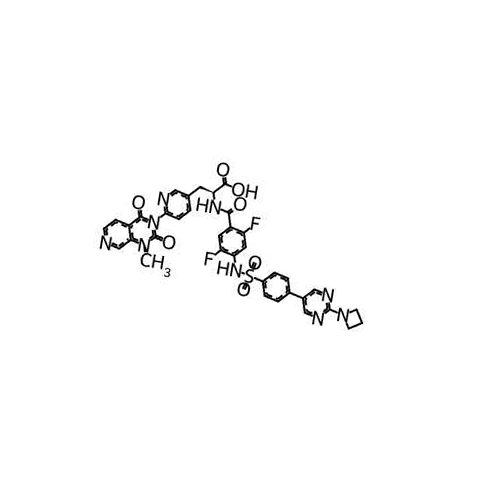 Cn1c(=O)n(-c2ccc(C[C@H](NC(=O)c3cc(F)c(NS(=O)(=O)c4ccc(-c5cnc(N6CCC6)nc5)cc4)cc3F)C(=O)O)cn2)c(=O)c2ccncc21